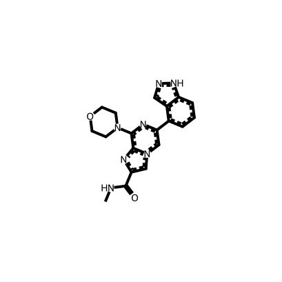 CNC(=O)c1cn2cc(-c3cccc4[nH]ncc34)nc(N3CCOCC3)c2n1